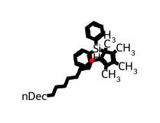 CCCCCCCCCCCCCCCCCCC1=C(C)C(C)=C(C)C1(C)[SiH](c1ccccc1)c1ccccc1